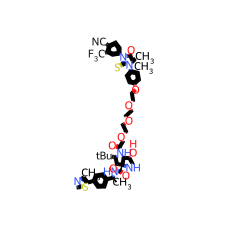 Cc1ncsc1-c1ccc([C@H](C)NC(=O)[C@@]2(C(=O)C(NC(=O)COCCOCCOCCOc3ccc(N4C(=S)N(c5ccc(C#N)c(C(F)(F)F)c5)C(=O)C4(C)C)cc3)C(C)(C)C)CC(O)CN2)cc1